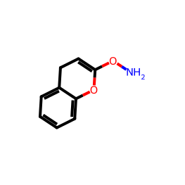 NOC1=CCc2ccccc2O1